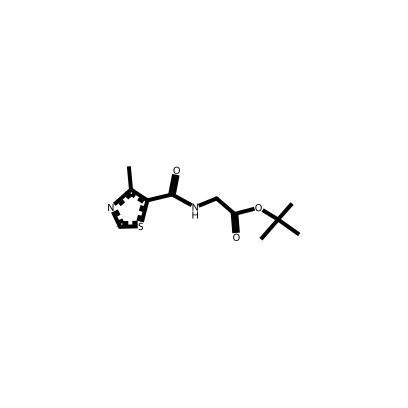 Cc1n[c]sc1C(=O)NCC(=O)OC(C)(C)C